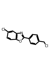 ClCc1ccc(-c2nc3cc(Cl)ccc3o2)cc1